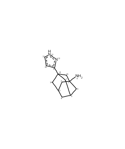 NC12CC3CC(C1)CC(c1cc[nH]n1)(C3)C2